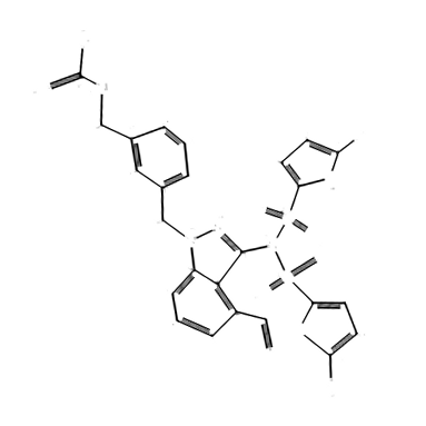 O=Cc1cccc2c1c(N(S(=O)(=O)c1ccc(Cl)s1)S(=O)(=O)c1ccc(Cl)s1)nn2Cc1cccc(CNC(=O)O)c1